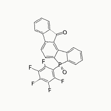 O=C1c2ccccc2-c2ccc3c(c21)-c1ccccc1P3(=O)c1c(F)c(F)c(F)c(F)c1F